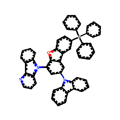 c1ccc([Si](c2ccccc2)(c2ccccc2)c2ccc3oc4c(-n5c6ccccc6c6ncccc65)cc(-n5c6ccccc6c6ccccc65)cc4c3c2)cc1